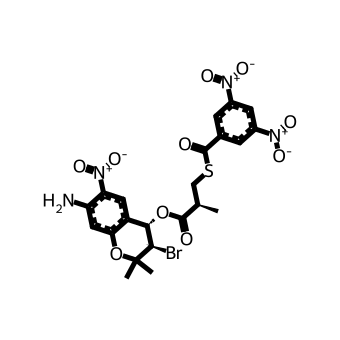 C[C@H](CSC(=O)c1cc([N+](=O)[O-])cc([N+](=O)[O-])c1)C(=O)O[C@H]1c2cc([N+](=O)[O-])c(N)cc2OC(C)(C)[C@@H]1Br